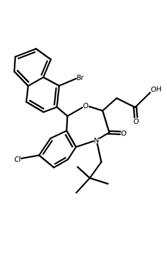 CC(C)(C)CN1C(=O)C(CC(=O)O)OC(c2ccc3ccccc3c2Br)c2cc(Cl)ccc21